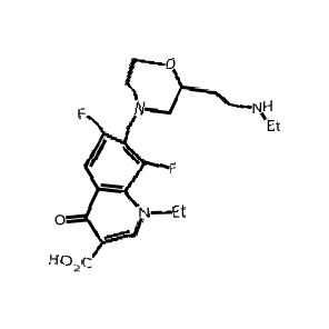 CCNCCC1CN(c2c(F)cc3c(=O)c(C(=O)O)cn(CC)c3c2F)CCO1